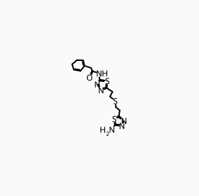 Nc1nnc(CCSCCc2nnc(NC(=O)CC3=CCCC=C3)s2)s1